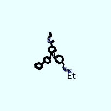 C=C/C=C\C(=C)C1=CC=C(N(C2=CCC=C(C/C=C\C=C/CC)C=C2)C2=CC=C(c3ccccc3)CC2)CC1